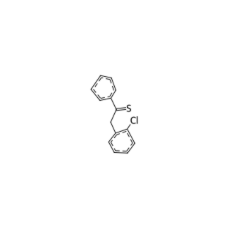 S=C(Cc1ccccc1Cl)c1ccccc1